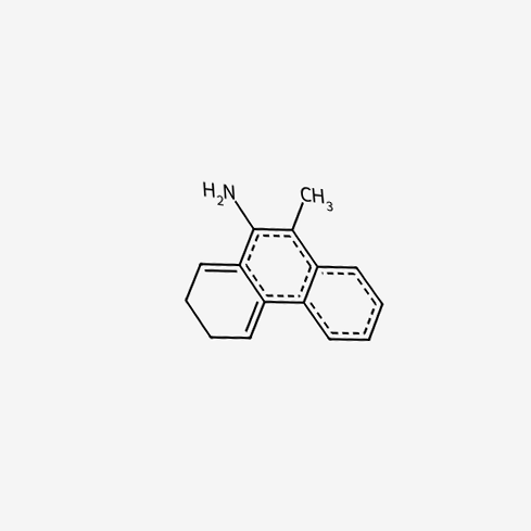 Cc1c(N)c2c(c3ccccc13)=CCCC=2